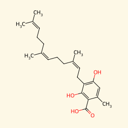 CC(C)=CCCC(C)=CCCC(C)=CCc1c(O)cc(C)c(C(=O)O)c1O